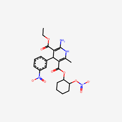 CCOC(=O)C1=C(N)NC(C)=C(C(=O)OC2CCCCC2O[N+](=O)[O-])C1c1cccc([N+](=O)[O-])c1